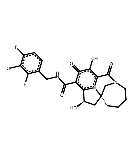 O=C(NCc1ccc(F)c(Cl)c1F)c1c2n3c(c(O)c1=O)C(=O)N1CCCC[C@@]3(C[C@H]2O)C1